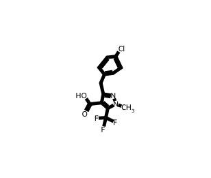 Cn1nc(Cc2ccc(Cl)cc2)c(C(=O)O)c1C(F)(F)F